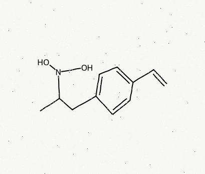 C=Cc1ccc(CC(C)N(O)O)cc1